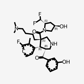 Cc1c(F)cccc1[C@H]1[C@@H](C(=O)c2cccc(O)c2)CNC[C@@]1(CCCCN(C)C)C(=O)N1C[C@H](O)C[C@H]1C(F)F